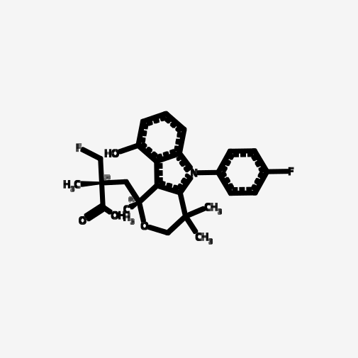 CC1(C)CO[C@](C)(C[C@@](C)(CF)C(=O)O)c2c1n(-c1ccc(F)cc1)c1cccc(O)c21